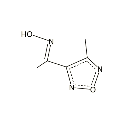 CC(=NO)c1nonc1C